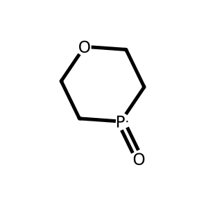 O=[P]1CCOCC1